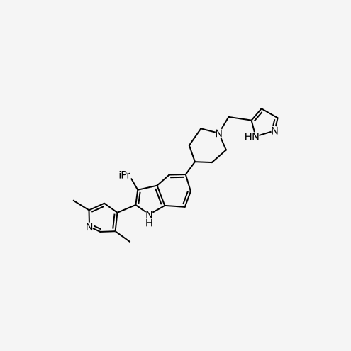 Cc1cc(-c2[nH]c3ccc(C4CCN(Cc5ccn[nH]5)CC4)cc3c2C(C)C)c(C)cn1